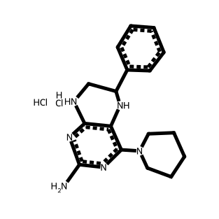 Cl.Cl.Nc1nc2c(c(N3CCCCC3)n1)NC(c1ccccc1)CN2